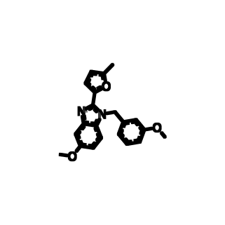 COc1cccc(Cn2c(-c3ccc(C)o3)nc3cc(OC)ccc32)c1